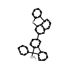 CC1(c2ccccc2)c2ccccc2-c2cc(-c3cc4c5c(cccc5c3)-c3ccccc3S4)ccc21